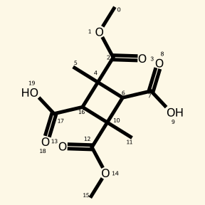 COC(=O)C1(C)C(C(=O)O)C(C)(C(=O)OC)C1C(=O)O